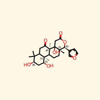 CC1(C)C2CC(=O)[C@]3(C)C(CC[C@@]4(C)[C@H](c5ccoc5)OC(=O)CC43O)[C@@]2(C)[C@@H](O)C[C@H]1O